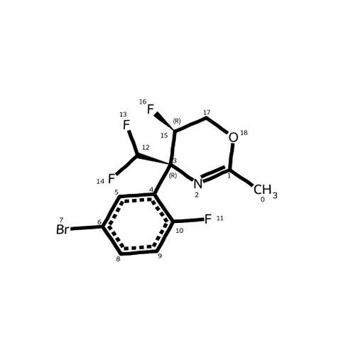 CC1=N[C@@](c2cc(Br)ccc2F)(C(F)F)[C@@H](F)CO1